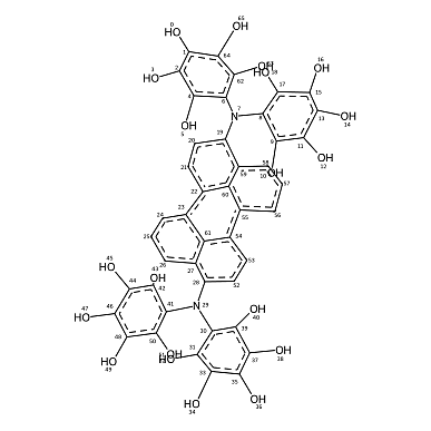 Oc1c(O)c(O)c(N(c2c(O)c(O)c(O)c(O)c2O)c2ccc3c4cccc5c(N(c6c(O)c(O)c(O)c(O)c6O)c6c(O)c(O)c(O)c(O)c6O)ccc(c6cccc2c63)c54)c(O)c1O